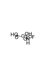 O=C(O)CCc1ccc(C(O)=C2C(=O)Nc3cc(F)ccc32)cc1